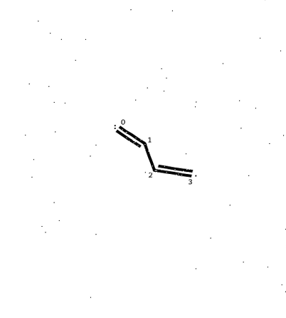 [C]=CC=[CH]